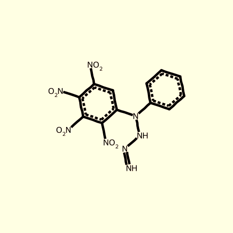 N=NNN(c1ccccc1)c1cc([N+](=O)[O-])c([N+](=O)[O-])c([N+](=O)[O-])c1[N+](=O)[O-]